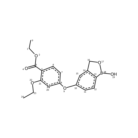 CCOC(=O)c1ccc(Oc2ccc3c(c2)COB3O)nc1OCC